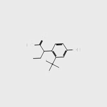 CCC(C(=O)O)c1ccc(O)cc1C(C)(C)C